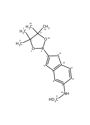 CC1(C)OB(c2cc3cc(NC(=O)O)ccc3s2)OC1(C)C